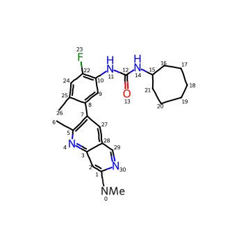 CNc1cc2nc(C)c(-c3cc(NC(=O)NC4CCCCCC4)c(F)cc3C)cc2cn1